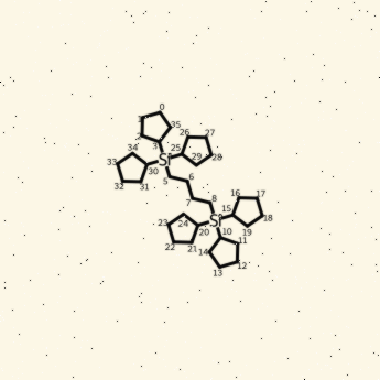 C1CCC([Si](CCCC[Si](C2CCCC2)(C2CCCC2)C2CCCC2)(C2CCCC2)C2CCCC2)C1